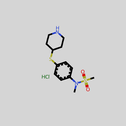 CN(c1ccc(SC2CCNCC2)cc1)S(C)(=O)=O.Cl